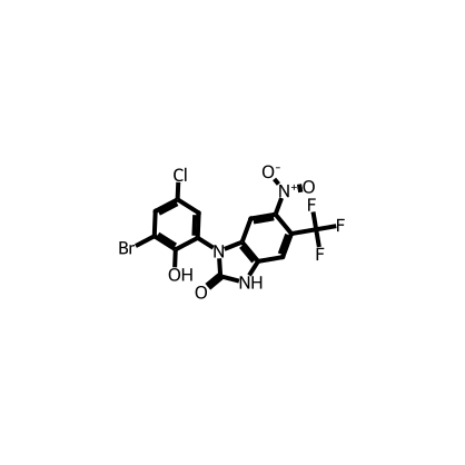 O=c1[nH]c2cc(C(F)(F)F)c([N+](=O)[O-])cc2n1-c1cc(Cl)cc(Br)c1O